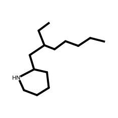 CCCCCC(CC)CC1CCCCN1